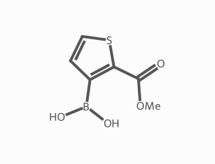 COC(=O)c1sccc1B(O)O